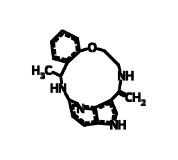 C=C1NCCOc2ccccc2C(C)Nc2ccc3[nH]cc1c3n2